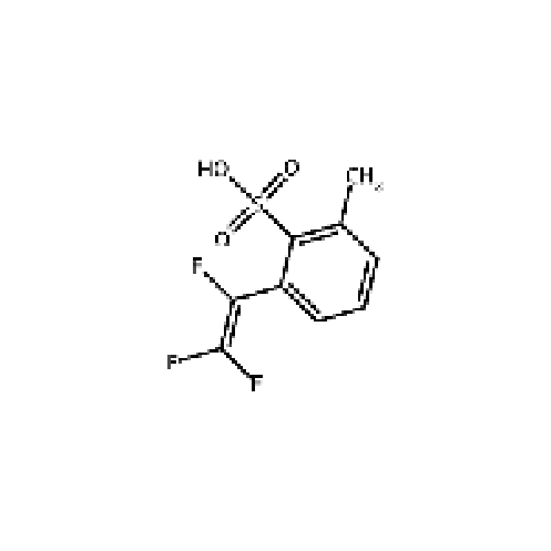 Cc1cccc(C(F)=C(F)F)c1S(=O)(=O)O